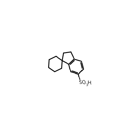 O=S(=O)(O)c1ccc2c(c1)C1(CCCCC1)CC2